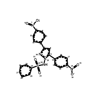 O=[N+]([O-])c1ccc(-c2cc(-c3ccc([N+](=O)[O-])cc3)n(NS(=O)(=O)c3ccccc3)n2)cc1